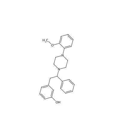 COc1ccccc1N1CCN(C(Cc2cccc(O)c2)c2ccccc2)CC1